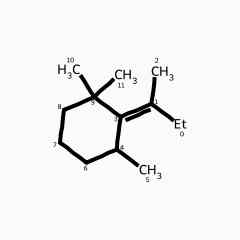 CC/C(C)=C1\C(C)CCCC1(C)C